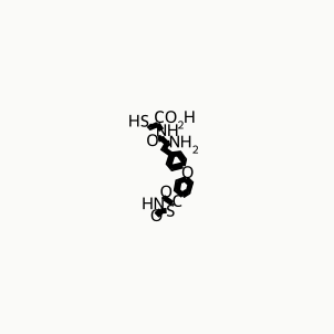 NC(Cc1ccc(Oc2ccc(CC3SC(=O)NC3=O)cc2)cc1)C(=O)NC(CS)C(=O)O